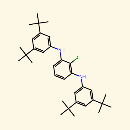 CC(C)(C)c1cc(Nc2cccc(Nc3cc(C(C)(C)C)cc(C(C)(C)C)c3)c2Cl)cc(C(C)(C)C)c1